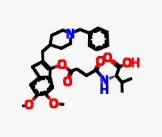 COc1cc2c(cc1OC)C(OC(=O)CCC(=O)N[C@H](C(=O)O)C(C)C)=C(CC1CCN(Cc3ccccc3)CC1)C2